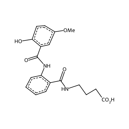 COc1ccc(O)c(C(=O)Nc2ccccc2C(=O)NCCCC(=O)O)c1